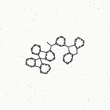 CN(c1cccc(N2c3ccccc3Cc3ccccc32)c1)c1cccc2c1-c1ccccc1C21c2ccccc2-c2ccccc21